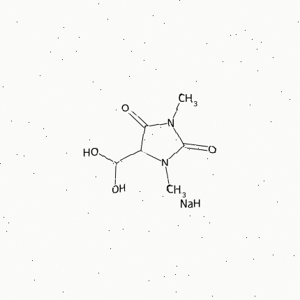 CN1C(=O)C(C(O)O)N(C)C1=O.[NaH]